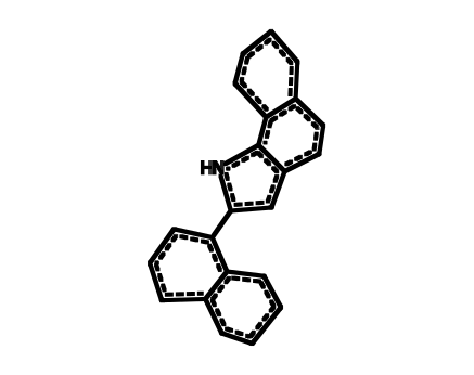 c1ccc2c(-c3cc4ccc5ccccc5c4[nH]3)cccc2c1